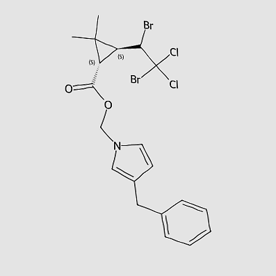 CC1(C)[C@@H](C(=O)OCn2ccc(Cc3ccccc3)c2)[C@@H]1C(Br)C(Cl)(Cl)Br